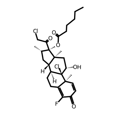 CCCCCC(=O)O[C@@]1(C(=O)CCl)[C@@H](C)C[C@H]2[C@@H]3CCC4=C(F)C(=O)C=C[C@]4(C)[C@@]3(Cl)[C@@H](O)C[C@@]21C